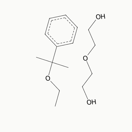 CCOC(C)(C)c1ccccc1.OCCOCCO